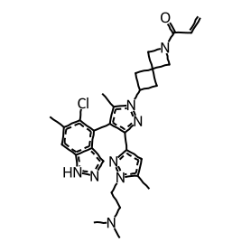 C=CC(=O)N1CC2(CC(n3nc(-c4cc(C)n(CCN(C)C)n4)c(-c4c(Cl)c(C)cc5[nH]ncc45)c3C)C2)C1